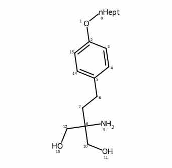 CCCCCCCOc1ccc(CCC(N)(CO)CO)cc1